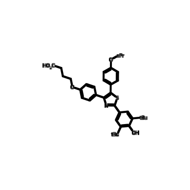 CCCOc1ccc(-c2sc(-c3cc(C(C)(C)C)c(O)c(C(C)(C)C)c3)nc2-c2ccc(OCCCC(=O)O)cc2)cc1